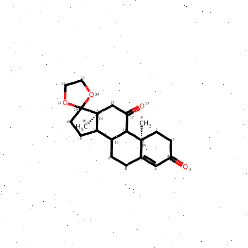 C[C@]12CCC(=O)C=C1CCC1C2C(=O)C[C@@]2(C)C1CCC21OCCO1